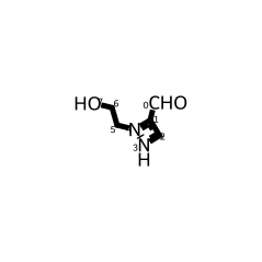 O=Cc1c[nH]n1CCO